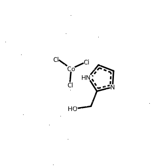 OCc1ncc[nH]1.[Cl][Co]([Cl])[Cl]